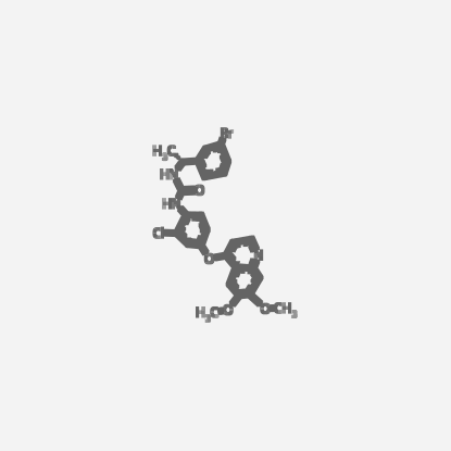 COc1cc2nccc(Oc3ccc(NC(=O)N[C@H](C)c4cccc(Br)c4)c(Cl)c3)c2cc1OC